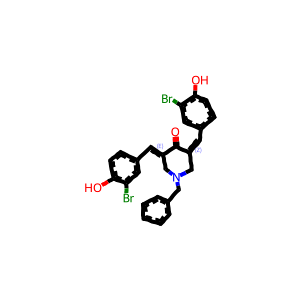 O=C1/C(=C\c2ccc(O)c(Br)c2)CN(Cc2ccccc2)C/C1=C\c1ccc(O)c(Br)c1